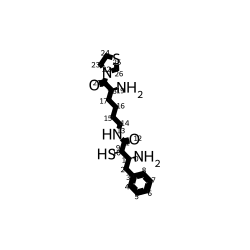 N[C@H](Cc1ccccc1)[C@H](S)C(=O)NCCCC[C@H](N)C(=O)N1CCSC1